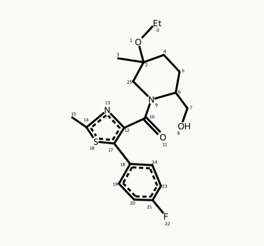 CCOC1(C)CCC(CO)N(C(=O)c2nc(C)sc2-c2ccc(F)cc2)C1